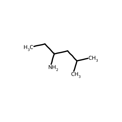 CC[C](N)CC(C)C